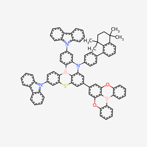 CC1(C)CCC(C)(C)c2c(-c3ccc(N4c5cc(-n6c7ccccc7c7ccccc76)ccc5B5c6ccc(-n7c8ccccc8c8ccccc87)cc6Sc6cc(-c7cc8c9c(c7)Oc7ccccc7B9c7ccccc7O8)cc4c65)cc3)cccc21